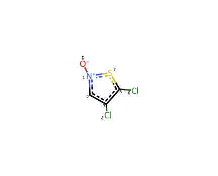 [O-][n+]1cc(Cl)c(Cl)s1